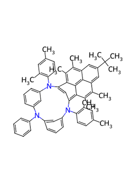 Cc1ccc(N2c3cccc(c3)N(c3ccccc3)c3cccc(c3)N(c3ccc(C)cc3C)c3cc2c2c(C)c(C)c4cc(C(C)(C)C)cc5c(C)c(C)c3c2c45)c(C)c1